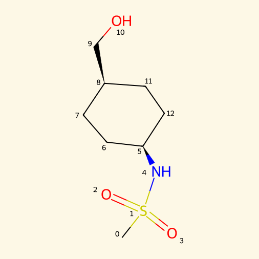 CS(=O)(=O)N[C@H]1CC[C@@H](CO)CC1